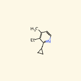 CCc1c(C)ccnc1C1CC1